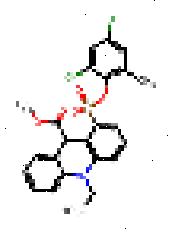 Cc1cc(Cl)cc(Cl)c1OS(=O)(=O)c1cccc2c1C(C(=O)OC(F)(F)F)c1ccccc1N2CC(=O)O